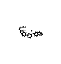 CC(=O)NCc1cc2ccc(-c3nccc(Nc4ccc5[nH]ncc5c4)n3)cc2[nH]1